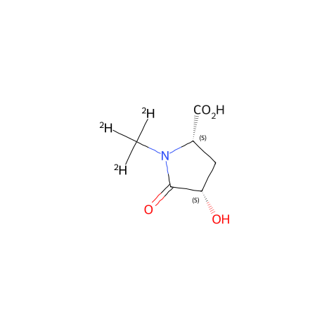 [2H]C([2H])([2H])N1C(=O)[C@@H](O)C[C@H]1C(=O)O